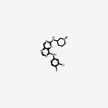 CN1CCCC(Nc2ncc3ncnc(Nc4ccc(F)c(Cl)c4)c3n2)C1